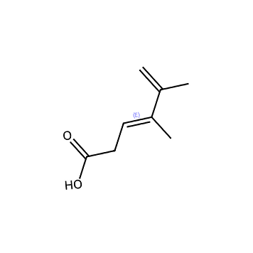 C=C(C)/C(C)=C/CC(=O)O